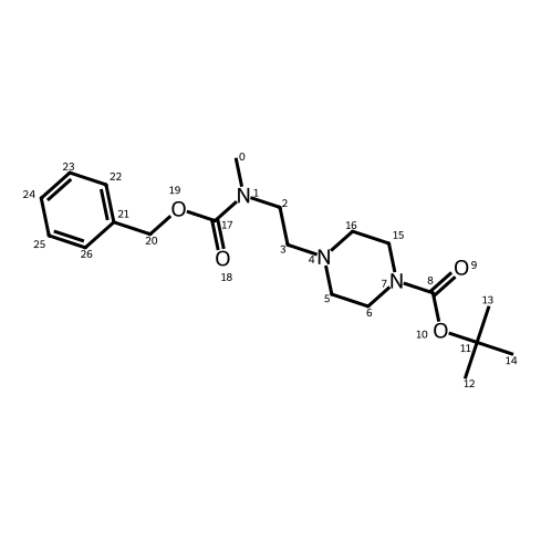 CN(CCN1CCN(C(=O)OC(C)(C)C)CC1)C(=O)OCc1ccccc1